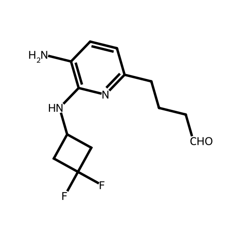 Nc1ccc(CCCC=O)nc1NC1CC(F)(F)C1